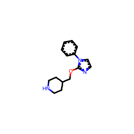 c1ccc(-n2ccnc2OCC2CCNCC2)cc1